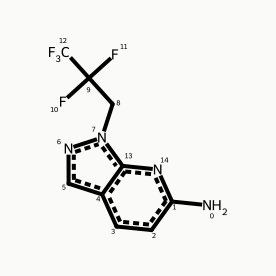 Nc1ccc2cnn(CC(F)(F)C(F)(F)F)c2n1